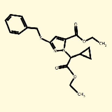 CCOC(=O)c1cc(SCc2ccccc2)nn1C(C(=O)OCC)C1CC1